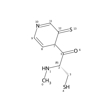 CN[C@@H](CS)C(=O)C1C=CN=[C]C1=S